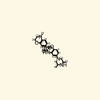 COc1ccc(N2CC(C)NC(C)C2)cc1NS(=O)(=O)c1ccc2c(c1)OCCN2C